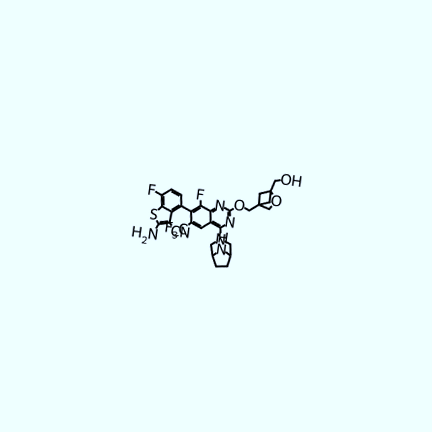 N#Cc1c(N)sc2c(F)ccc(-c3c(C(F)(F)F)cc4c(N5CC6CCC(C5)N6)nc(OCC56COC(CO)(C5)C6)nc4c3F)c12